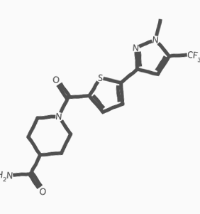 Cn1nc(-c2ccc(C(=O)N3CCC(C(N)=O)CC3)s2)cc1C(F)(F)F